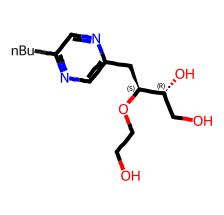 CCCCc1cnc(C[C@H](OCCO)[C@H](O)CO)cn1